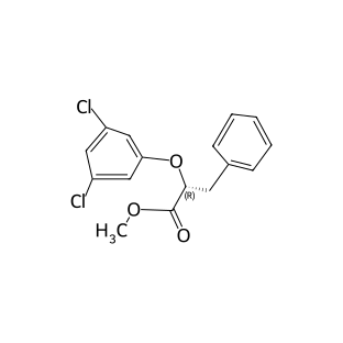 COC(=O)[C@@H](Cc1ccccc1)Oc1cc(Cl)cc(Cl)c1